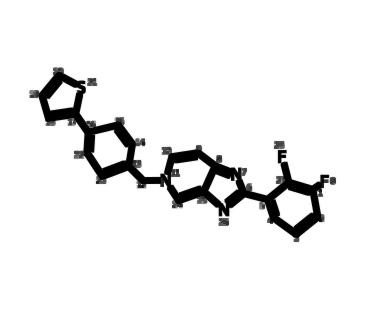 Fc1cccc(-c2nc3ccn(Cc4ccc(-c5cccs5)cc4)cc-3n2)c1F